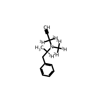 [2H]C([2H])([2H])N(C([2H])([2H])C#C)[C@]([2H])(C)Cc1ccccc1